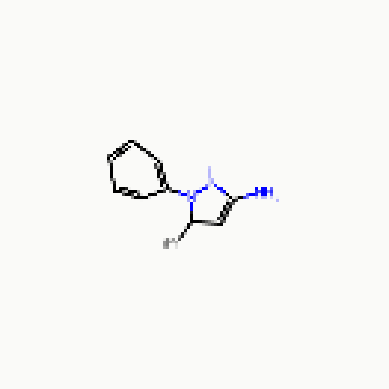 CC(C)C1C=C(N)NN1c1ccccc1